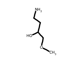 COCC(O)CCN